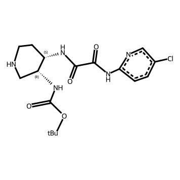 CC(C)(C)OC(=O)N[C@@H]1CNCC[C@@H]1NC(=O)C(=O)Nc1ccc(Cl)cn1